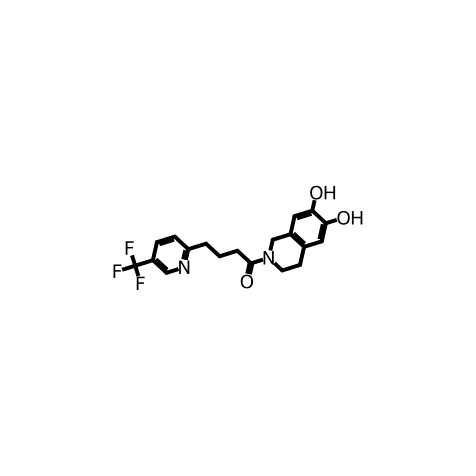 O=C(CCCc1ccc(C(F)(F)F)cn1)N1CCc2cc(O)c(O)cc2C1